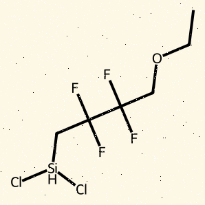 CCOCC(F)(F)C(F)(F)C[SiH](Cl)Cl